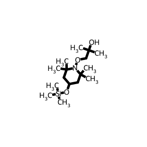 CC(C)(O)CON1C(C)(C)CC(O[Si](C)(C)C)CC1(C)C